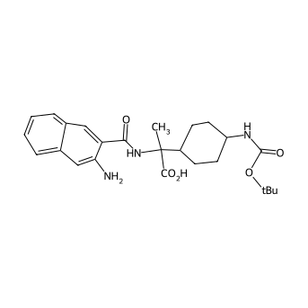 CC(C)(C)OC(=O)NC1CCC(C(C)(NC(=O)c2cc3ccccc3cc2N)C(=O)O)CC1